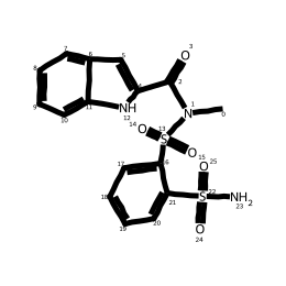 CN(C(=O)c1cc2ccccc2[nH]1)S(=O)(=O)c1ccccc1S(N)(=O)=O